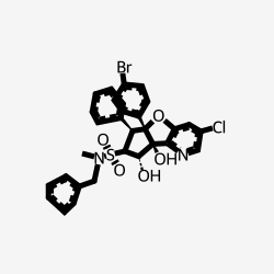 CN(Cc1ccccc1)S(=O)(=O)C1[C@@H](O)[C@@]2(O)c3ncc(Cl)cc3O[C@@]2(c2ccc(Br)cc2)[C@@H]1c1ccccc1